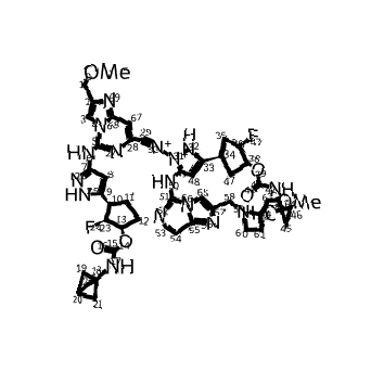 COCc1cn2c(Nc3cc([C@H]4CC[C@@H](OC(=O)NC56CC(C5)C6)[C@H]4F)[nH]n3)nc(C#[N+][n+]3[nH]c([C@H]4C[C@@H](F)[C@@H](OC(=O)NC5(C)CC5)C4)cc3Nc3nccc4nc(CN5CCC5COC)cn34)cc2n1